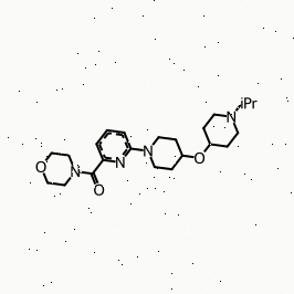 CC(C)N1CCC(OC2CCN(c3cccc(C(=O)N4CCOCC4)n3)CC2)CC1